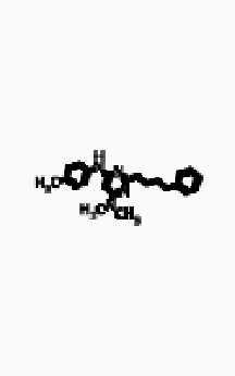 Cc1ccc(Nc2cc(N(C)C)nc(CCCCc3ccccc3)n2)cc1